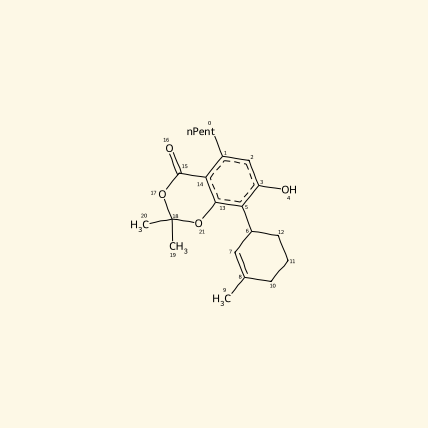 CCCCCc1cc(O)c(C2C=C(C)CCC2)c2c1C(=O)OC(C)(C)O2